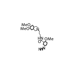 COc1cc2c(cc1OC)CN(CCCCNC(=O)c1cc(N=[N+]=[N-])ccc1OC)CC2